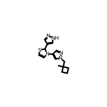 CC1(Cn2cc(N3C=CSC3c3cn[nH]c3)cn2)CCC1